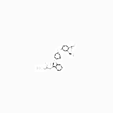 N#Cc1cc(Oc2ccc(-n3cc(C[C@H](N)CO)c4ccccc43)cc2)ccc1C(F)(F)F